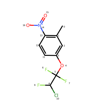 Cc1cc(OC(F)(F)C(F)Cl)ccc1[N+](=O)[O-]